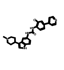 CN1CCC(c2c[nH]c3ccc(NC(=O)Nc4ccc(-c5ccncc5)cc4Cl)cc23)CC1